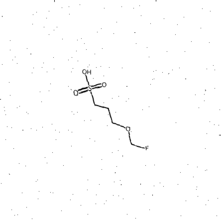 O=S(=O)(O)CCCOCF